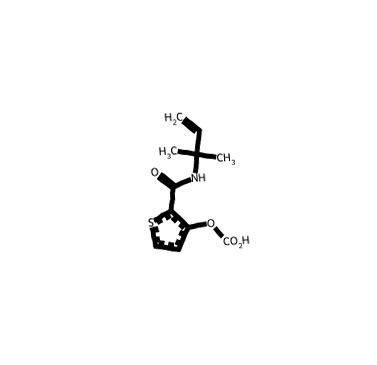 C=CC(C)(C)NC(=O)c1sccc1OC(=O)O